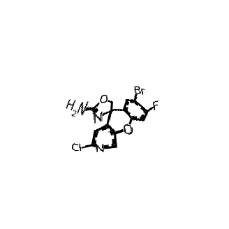 NC1=NC2(CO1)c1cc(Cl)ncc1Oc1cc(F)c(Br)cc12